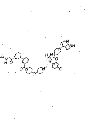 NC1(C(=O)N[C@@H](CCN2CCC(OC3CCN(C(=O)c4cccc(C5CCCN(C(=O)CNC6CC6)C5)c4)CC3)CC2)c2ccc(Cl)cc2)CCN(c2ncnc3[nH]ccc23)CC1